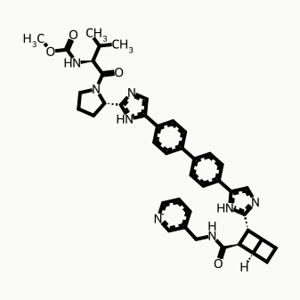 COC(=O)N[C@H](C(=O)N1CCC[C@H]1c1ncc(-c2ccc(-c3ccc(-c4cnc([C@@H]5C6CC[C@H]6[C@H]5C(=O)NCc5cccnc5)[nH]4)cc3)cc2)[nH]1)C(C)C